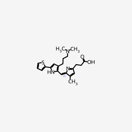 CC1=CC(CCC(=O)O)=N/C1=C\c1[nH]c(-c2cccs2)cc1CCCN(C)C